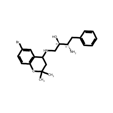 CC1(C)CC(NC[C@@H](O)[C@@H](N)Cc2ccccc2)c2cc(Br)ccc2O1